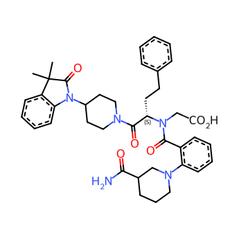 CC1(C)C(=O)N(C2CCN(C(=O)[C@H](CCc3ccccc3)N(CC(=O)O)C(=O)c3ccccc3N3CCCC(C(N)=O)C3)CC2)c2ccccc21